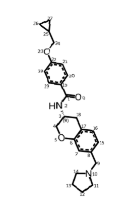 O=C(N[C@H]1COc2cc(CN3CCCC3)ccc2C1)c1ccc(OCC2CC2)cc1